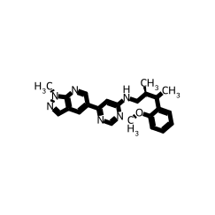 COc1ccccc1C(C)[C@H](C)CNc1cc(-c2cnc3c(cnn3C)c2)ncn1